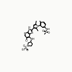 CCS(=O)(=O)N1CCC(Nc2c(Cl)cnc3[nH]c(-c4cc(C)n(-c5cc(NS(C)(=O)=O)ccc5C)c4C)nc23)C1